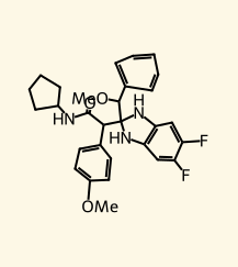 COc1ccc(C(C(=O)NC2CCCC2)C2(C(OC)c3ccccc3)Nc3cc(F)c(F)cc3N2)cc1